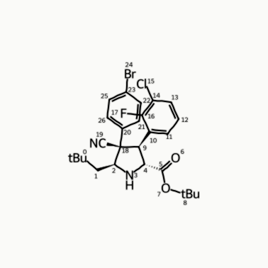 CC(C)(C)C[C@@H]1N[C@@H](C(=O)OC(C)(C)C)[C@H](c2cccc(Cl)c2F)[C@@]1(C#N)c1ccc(Br)cc1